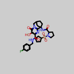 O=C(NCc1ccc(F)cc1)c1nc2n(c(=O)c1O)CC1CCC2(NC(=O)C2CCCN2S(=O)(=O)C2CCCC2)CC1